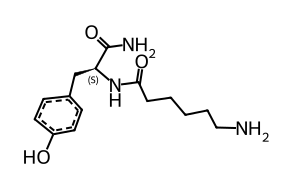 NCCCCCC(=O)N[C@@H](Cc1ccc(O)cc1)C(N)=O